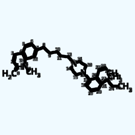 C=C/C=C\c1ccc(CCCCCN2CCN(c3cccc(C(C)CC)c3/C=C\C)CC2)cc1NC